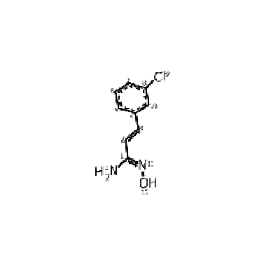 NC(C=Cc1cccc(Cl)c1)=NO